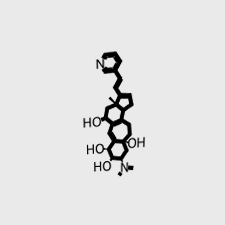 CN(C)[C@H]1C[C@]2(O)CCC3=C(C=C2[C@@H](O)[C@@H]1O)C(O)C[C@]1(C)C(/C=C/c2cccnc2)=CCC31